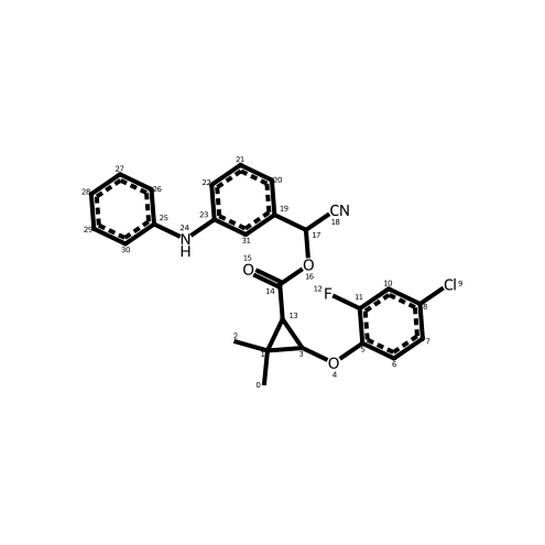 CC1(C)C(Oc2ccc(Cl)cc2F)C1C(=O)OC(C#N)c1cccc(Nc2ccccc2)c1